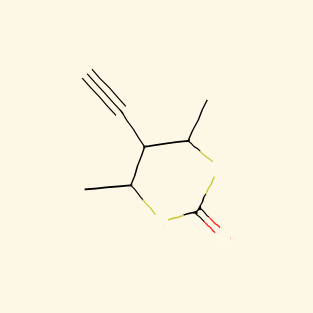 C#CC1C(C)SC(=O)SC1C